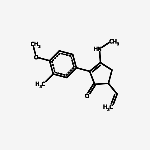 C=CC1CC(NC)=C(c2ccc(OC)c(C)c2)C1=O